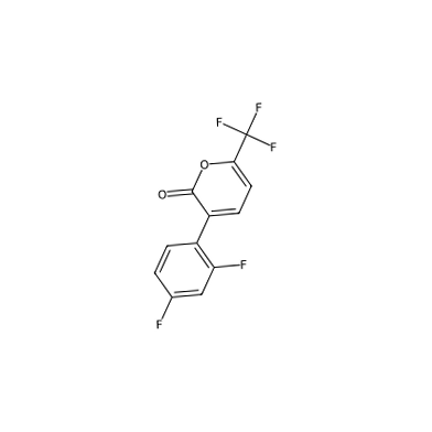 O=c1oc(C(F)(F)F)ccc1-c1ccc(F)cc1F